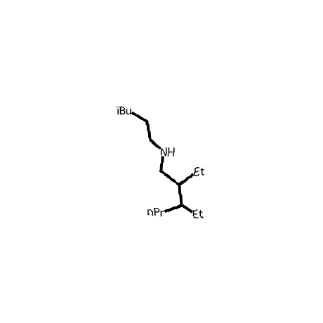 CCCC(CC)C(CC)CNCCC(C)CC